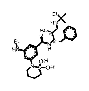 CCNc1cc(C(=O)N[C@@H](Cc2ccccc2)[C@@H](O)CNC(C)(C)CC)cc(N2CCCCS2(O)O)c1